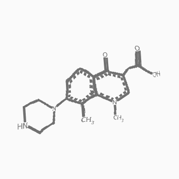 Cc1c(N2CCNCC2)ccc2c(=O)c(C(=O)O)cn(C)c12